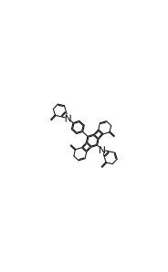 C=C1CC=CC2=C1N2c1ccc(-c2c3c4c(c3c(N3C5=C3C(=C)CC=C5)c3c5c(c23)C(=C)CC=C5)C(=C)CC=C4)cc1